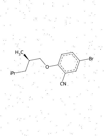 CC(C)C[C@@H](C)COc1ccc(Br)cc1C#N